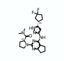 CN(C)C(=O)[C@@H]1CCCN1c1nc2c(c(Nc3cc([C@H]4CCC(F)(F)C4)[nH]n3)n1)CCC2